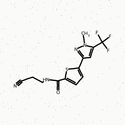 Cn1nc(-c2ccc(C(=O)NCCC#N)s2)cc1C(F)(F)F